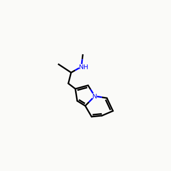 CNC(C)Cc1cc2ccccn2c1